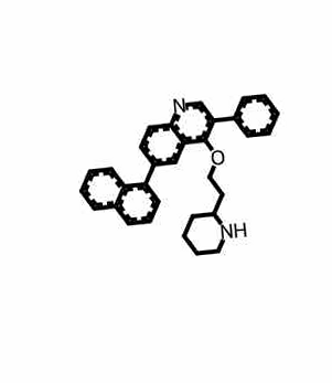 c1ccc(-c2cnc3ccc(-c4cccc5ccccc45)cc3c2OCCC2CCCCN2)cc1